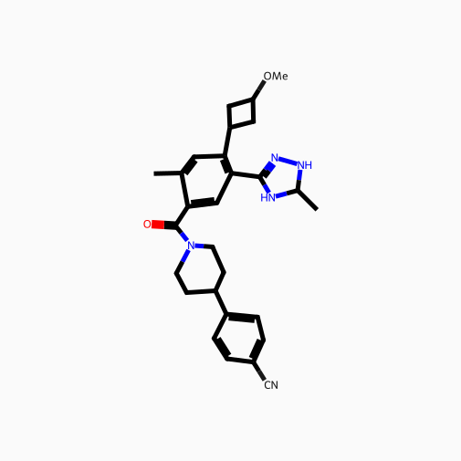 COC1CC(c2cc(C)c(C(=O)N3CCC(c4ccc(C#N)cc4)CC3)cc2C2=NNC(C)N2)C1